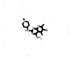 Cc1nc2nc(NC3CCN(C)CC3)nc(N)c2c(C)c1Br